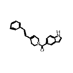 O=C(c1ccc2[nH]ccc2c1)N1CC=C(C=Cc2ccccc2)CC1